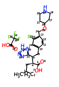 CC(C)C[C@H](C(=O)O)[C@H](Cc1ccc(COC2CCNCC2)c(F)c1)c1nn[nH]n1.O=C(O)C(F)(F)F